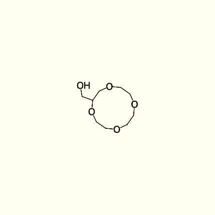 OCC1COCCOCCOCCO1